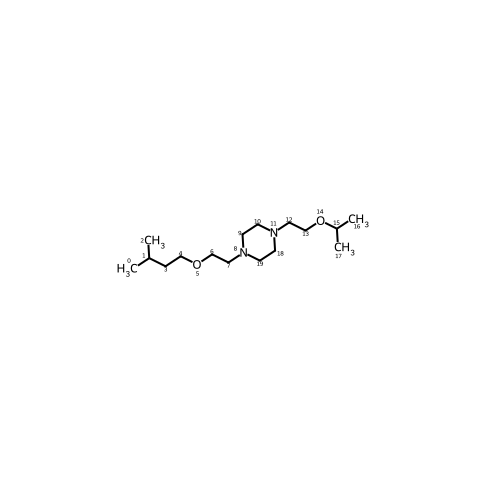 CC(C)CCOCCN1CCN(CCOC(C)C)CC1